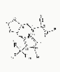 COC(=O)[C@H](CC1CCCC1)n1cc(C)c(C(F)(F)F)c1